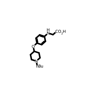 CCCCN1CCC(Oc2ccc(NCC(=O)O)cc2)CC1